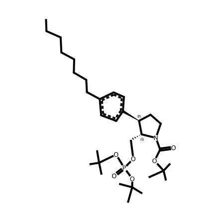 CCCCCCCCc1ccc([C@H]2CCN(C(=O)OC(C)(C)C)[C@@H]2COP(=O)(OC(C)(C)C)OC(C)(C)C)cc1